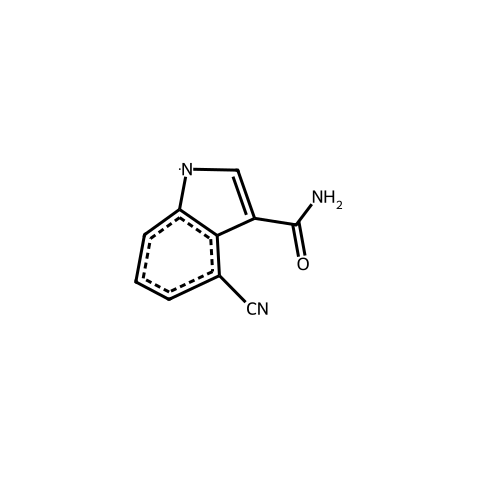 N#Cc1cccc2c1C(C(N)=O)=C[N]2